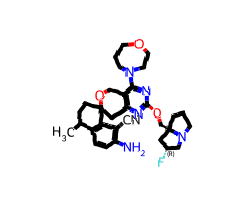 CC1CCC2(Cc3nc(OC[C@@]45CCCN4C[C@H](F)C5)nc(N4CCCOCC4)c3CO2)c2c1ccc(N)c2C#N